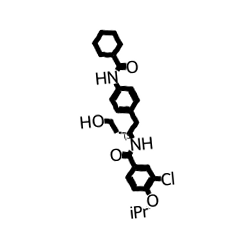 CC(C)Oc1ccc(C(=O)N[C@H](CCO)Cc2ccc(NC(=O)C3CCCCC3)cc2)cc1Cl